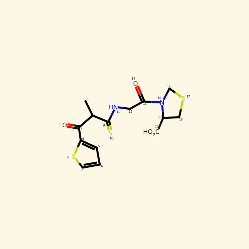 CC(C(=O)c1cccs1)C(=S)NCC(=O)N1CSCC1C(=O)O